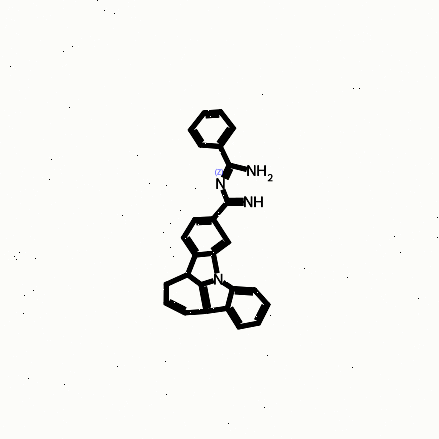 N=C(/N=C(\N)c1ccccc1)c1ccc2c(c1)-n1c3c(c4ccccc41)C=CCC23